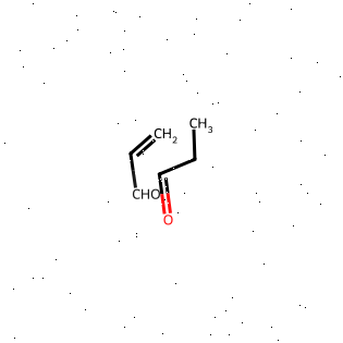 C=CC=O.CCC=O